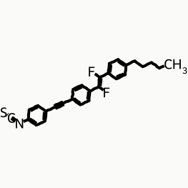 CCCCCc1ccc(/C(F)=C(\F)c2ccc(C#Cc3ccc(N=C=S)cc3)cc2)cc1